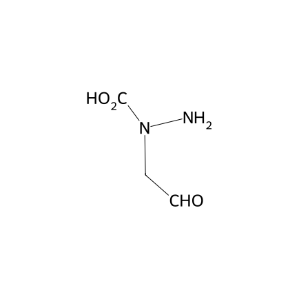 NN(CC=O)C(=O)O